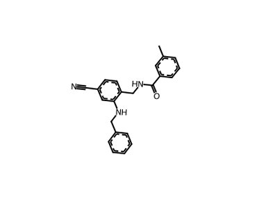 Cc1cccc(C(=O)NCc2ccc(C#N)cc2NCc2ccccc2)c1